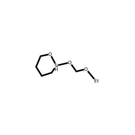 CCOCO[SiH]1CCCCO1